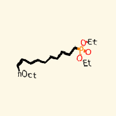 CCCCCCCC/C=C\CCCCCCCCP(=O)(OCC)OCC